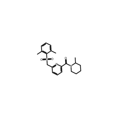 Cc1cccc(C)c1S(=O)(=O)Cc1cccc(C(=O)N2CCCCC2C)n1